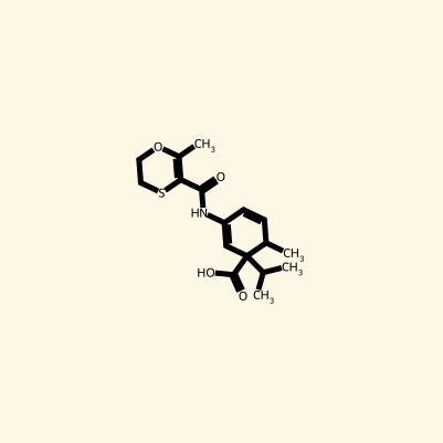 CC1=C(C(=O)NC2=CC(C(=O)O)(C(C)C)C(C)C=C2)SCCO1